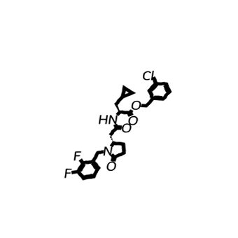 O=C(C[C@@H]1CCC(=O)N1Cc1cccc(F)c1F)N[C@@H](CC1CC1)C(=O)OCc1cccc(Cl)c1